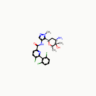 C[C@H]1O[C@@H](c2c(NC(=O)c3ccc(F)c(-c4c(F)cccc4F)n3)cnn2C)C[C@@H](N)[C@]1(C)O